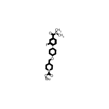 CN(C)C(=O)c1ccc([C@H]2CC[C@@H](OCC3CCN(C(=O)OC(C)(C)C)CC3)CC2)c(F)c1